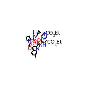 CCOC(=O)CC[C@H](NC(=O)c1cc(O[C@H](C)C(=O)N2CCC[C@H]2C(=O)NCC2CC2)c2ccc(C)cc2n1)C(=O)N1CCN(C(=O)OCC)CC1